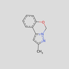 Cc1cc2n(n1)COc1ccccc1-2